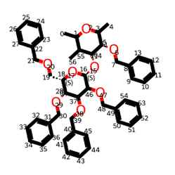 CC1OC(C)[C@H](OCc2ccccc2)[C@H](O[C@H]2O[C@@H](COCc3ccccc3)[C@@H](OCc3ccccc3)C(OCc3ccccc3)C2OCc2ccccc2)C1C